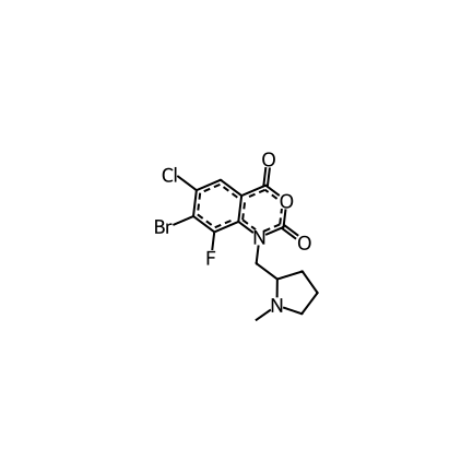 CN1CCCC1Cn1c(=O)oc(=O)c2cc(Cl)c(Br)c(F)c21